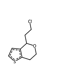 ClCCC1OCCc2sccc21